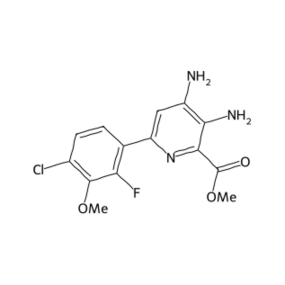 COC(=O)c1nc(-c2ccc(Cl)c(OC)c2F)cc(N)c1N